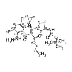 C=CCOC(=O)c1c(N2CCC(NC(=O)OC(C)(C)C)C2)n(C2CC2)c2c(F)cc(F)c(NN)c2c1=O